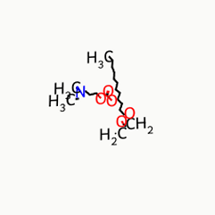 [CH2]C([CH2])OC(=O)CCC(CCCCCCCC)OC(=O)OCCCN(C)CC